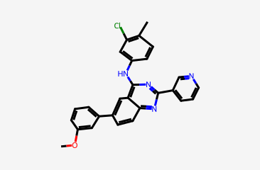 COc1cccc(-c2ccc3nc(-c4cccnc4)nc(Nc4ccc(C)c(Cl)c4)c3c2)c1